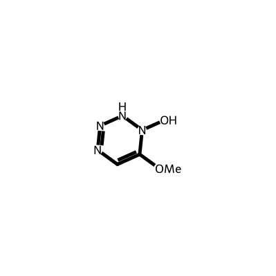 COC1=CN=NNN1O